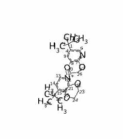 CC(C)(C)c1cnc2c(c1)OC([n+]1ccc(C(C)(C)C)c3c1OCCO3)CO2